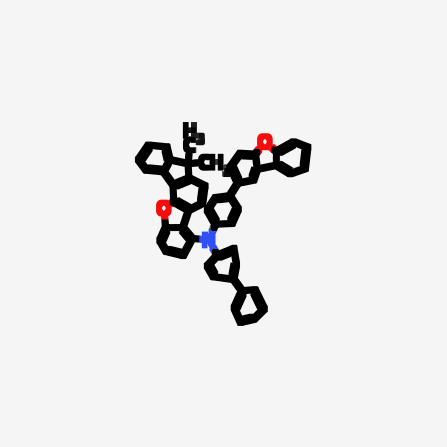 CC1(C)c2ccccc2-c2c1ccc1c2oc2cccc(N(c3ccc(-c4ccccc4)cc3)c3ccc(-c4ccc5oc6ccccc6c5c4)cc3)c21